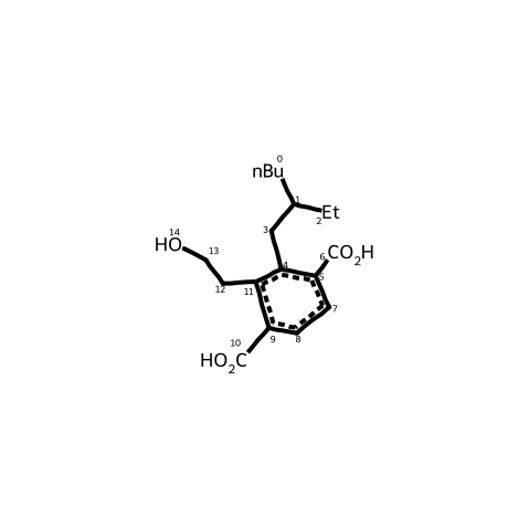 CCCCC(CC)Cc1c(C(=O)O)ccc(C(=O)O)c1CCO